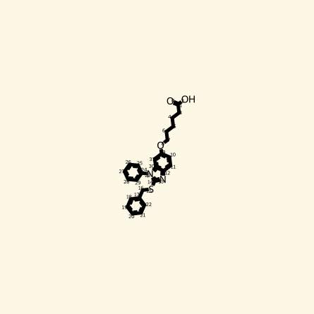 O=C(O)CCCCCOc1ccc2nc(SCc3ccccc3)n(-c3ccccc3)c2c1